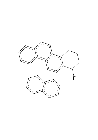 FC1CCCc2c1ccc1c2ccc2ccccc21.c1ccc2ccccc2c1